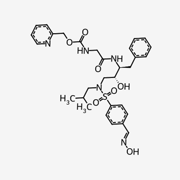 CC(C)CN(C[C@@H](O)[C@H](Cc1ccccc1)NC(=O)CNC(=O)OCc1ccccn1)S(=O)(=O)c1ccc(/C=N/O)cc1